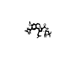 COc1cc2c(cc1-c1nnn(C)n1)-c1c(C=C(C)C)cc(C(=O)N(C)[C@](C)(C#N)CC(F)(F)F)n1CC2